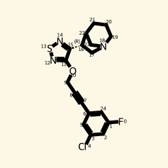 Fc1cc(Cl)cc(C#CCOc2nsnc2[C@H]2CN3CCCC2C3)c1